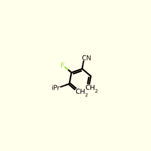 C=C/C(C#N)=C(/F)C(=C)C(C)C